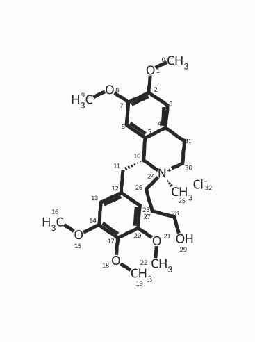 COc1cc2c(cc1OC)[C@@H](Cc1cc(OC)c(OC)c(OC)c1)[N@+](C)(CCCO)CC2.[Cl-]